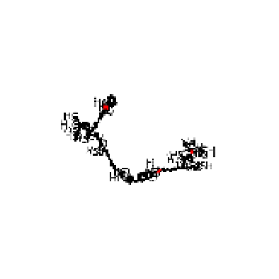 CC(CSC(CCCCCCCCCOC(=O)Nc1ccc(Cc2ccc(NC(=O)OCCCCCCCCCC(CSSCCSSC(CCCCCCCCOC(=O)Nc3ccccc3)C(C)(SSS)c3cccc(C(C)(CSSS)SSS)c3)SSS)cc2)cc1)CSSSSSSS)(SS)c1cccc(C(C)(CSSS)SSSSS)c1